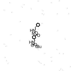 CC(C)(C)OC(=O)NCc1ccc2nc(NCCc3ccccc3)oc(=O)c2c1